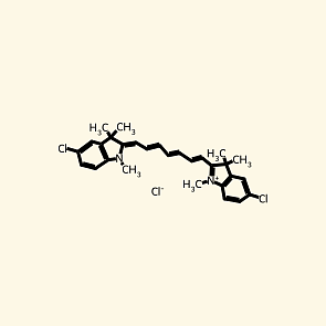 CN1\C(=C/C=C/C=C/C=C/C2=[N+](C)c3ccc(Cl)cc3C2(C)C)C(C)(C)c2cc(Cl)ccc21.[Cl-]